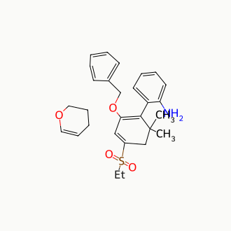 C1=COCCC1.CCS(=O)(=O)C1=CC(OCc2ccccc2)=C(c2ccccc2N)C(C)(C)C1